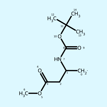 [CH2]C(CC(=O)OC)NC(=O)OC(C)(C)C